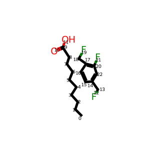 CCCCCCCCCC(=O)O.FCc1ccc(CF)c(F)c1